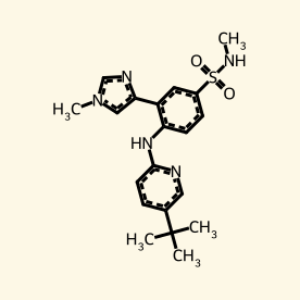 CNS(=O)(=O)c1ccc(Nc2ccc(C(C)(C)C)cn2)c(-c2cn(C)cn2)c1